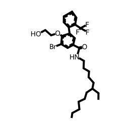 CCCCCCC(CC)CCCCCNC(=O)c1cc(Br)c(OCCO)c(-c2ccccc2C(F)(F)F)c1